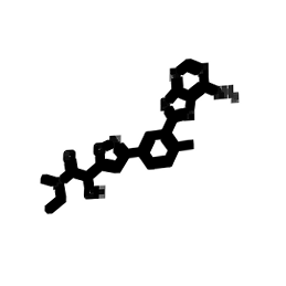 CCN(C)C(=O)C(O)c1cc(-c2ccc(C)c(-c3nc4c(N)ncnc4s3)c2)no1